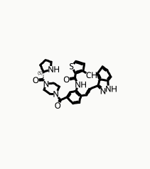 Cc1ccsc1C(=O)Nc1cc(C(=O)N2CCN(C(=O)[C@@H]3CCCN3)CC2)ccc1C=Cc1n[nH]c2ccccc12